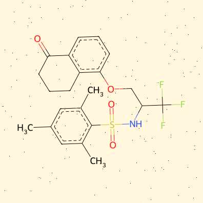 Cc1cc(C)c(S(=O)(=O)NC(COc2cccc3c2CCCC3=O)C(F)(F)F)c(C)c1